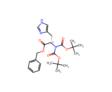 CC(C)(C)OC(=O)N(C(=O)OC(C)(C)C)[C@@H](Cc1c[nH]cn1)C(=O)OCc1ccccc1